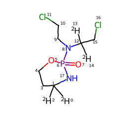 [2H]C1([2H])CCOP(=O)(N(CCCl)C([2H])([2H])CCl)N1